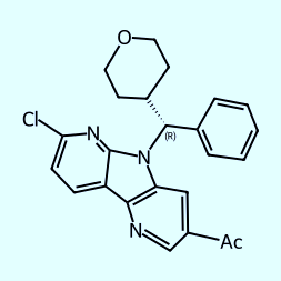 CC(=O)c1cnc2c3ccc(Cl)nc3n([C@@H](c3ccccc3)C3CCOCC3)c2c1